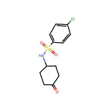 O=C1CCC(NS(=O)(=O)c2ccc(Cl)cc2)CC1